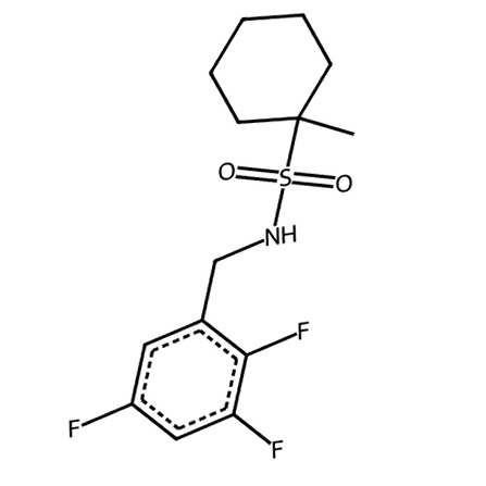 CC1(S(=O)(=O)NCc2cc(F)cc(F)c2F)CCCCC1